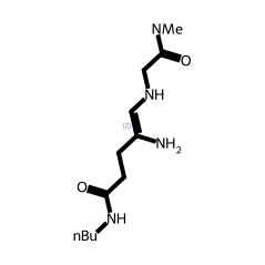 CCCCNC(=O)CC/C(N)=C/NCC(=O)NC